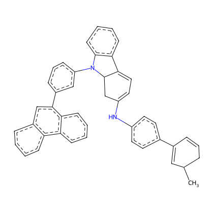 CC1C=C(c2ccc(NC3=CC=C4c5ccccc5N(c5cccc(-c6cc7ccccc7c7ccccc67)c5)C4C3)cc2)C=CC1